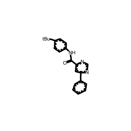 CC(C)(C)c1ccc(NC(=O)c2cc(-c3ccccc3)ncn2)cc1